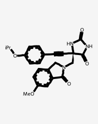 COc1ccc2c(c1)C(=O)N(C[C@@]1(C#Cc3ccc(OC(C)C)cc3)NC(=O)NC1=O)C2